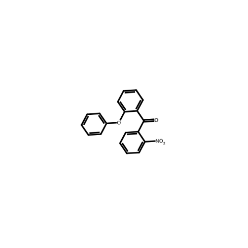 O=C(c1ccccc1Oc1ccccc1)c1ccccc1[N+](=O)[O-]